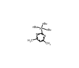 CCC[CH2][Sn]([CH2]CCC)([CH2]CCC)[c]1nc(C)cc(C)n1